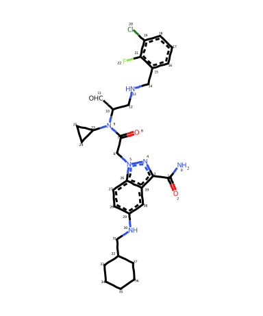 NC(=O)c1nn(CC(=O)N(C(C=O)CNCc2cccc(Cl)c2F)C2CC2)c2ccc(NCC3CCCCC3)cc12